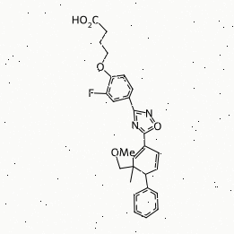 COCC1(C)C=C(c2nc(-c3ccc(OCCCC(=O)O)c(F)c3)no2)C=CC1c1ccccc1